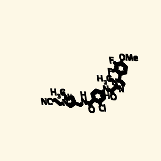 COc1ccc(-c2cnc(C(=O)Nc3ccc(C(=O)NCc4cn(CCC#N)[n+](C)c4)c(Cl)c3)n2C)c(F)c1F